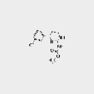 COC(=O)NC1=NC(c2cccc(Cl)c2)CCN1